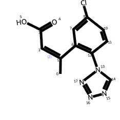 C/C(=C/C(=O)O)c1cc(Cl)ccc1-n1cnnn1